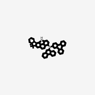 CC1(C)c2cc3ccc4c(N(c5ccc6c7ccccc7c7ccccc7c6c5)c5cc6ccccc6c6ccccc56)ccc5[nH]c(c2C2C=CC=CC21C)c3c54